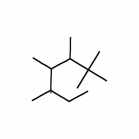 CC[C](C)C(C)C(C)C(C)(C)C